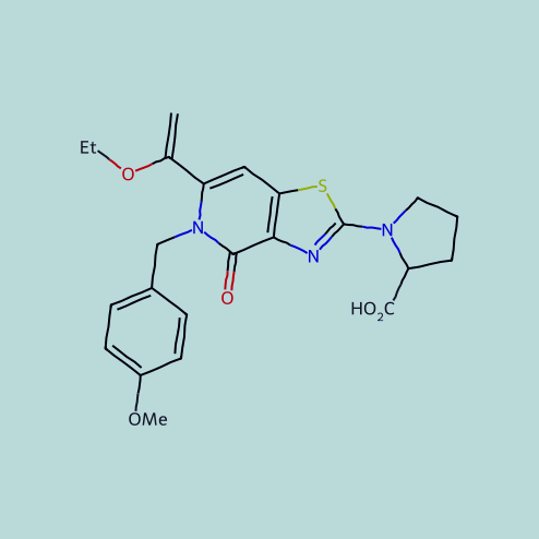 C=C(OCC)c1cc2sc(N3CCCC3C(=O)O)nc2c(=O)n1Cc1ccc(OC)cc1